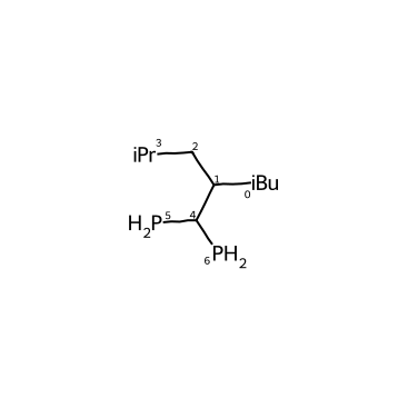 CCC(C)C(CC(C)C)C(P)P